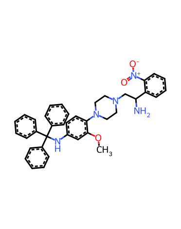 COc1cc(NC(c2ccccc2)(c2ccccc2)c2ccccc2)ccc1N1CCN(CC(N)c2ccccc2[N+](=O)[O-])CC1